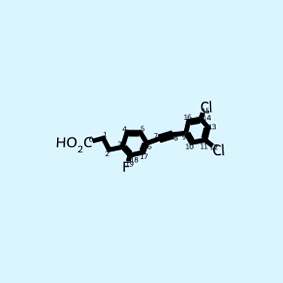 O=C(O)CCc1ccc(C#Cc2cc(Cl)cc(Cl)c2)cc1F